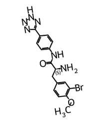 COc1ccc(C[C@H](N)C(=O)Nc2ccc(-c3nn[nH]n3)cc2)cc1Br